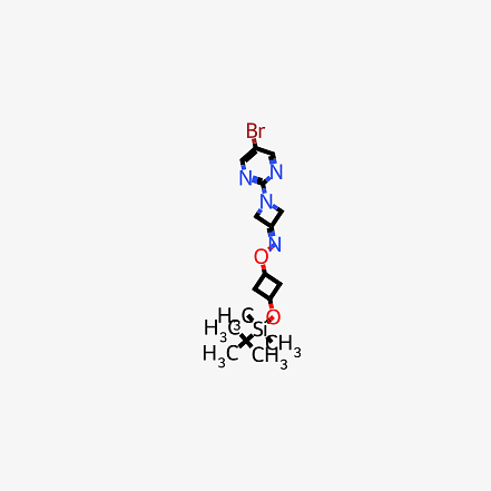 CC(C)(C)[Si](C)(C)OC1CC(ON=C2CN(c3ncc(Br)cn3)C2)C1